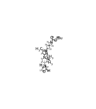 Cc1cc(N2CCC(N3C[C@@H]4C[C@H]3CO4)CC2(C)C)nn1C1CC2(C1)CN(C(=O)OC(C)(C)C)C2